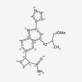 COCC(C)Oc1cc(-c2cncs2)nc2ccc(C3OCC3C(N)=O)cc12